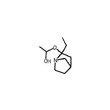 CCC1(OC(C)O)CC2CCN1C2